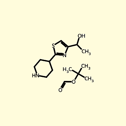 CC(C)(C)OC=O.CC(O)c1csc(C2CCNCC2)n1